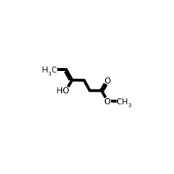 C/C=C(\O)CCC(=O)OC